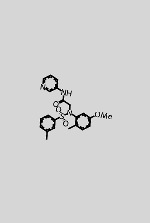 COc1ccc(C)c(N(CC(=O)Nc2cccnc2)S(=O)(=O)c2cccc(C)c2)c1